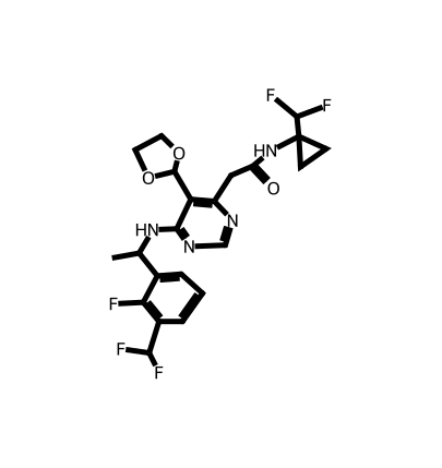 CC(Nc1ncnc(CC(=O)NC2(C(F)F)CC2)c1C1OCCO1)c1cccc(C(F)F)c1F